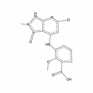 COc1c(Nc2cc(Cl)nc3[nH]n(C)c(=O)c23)cccc1C(=O)O